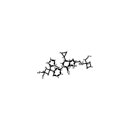 Cn1cnnc1C1(c2cccc(-n3cc(C4CC4)c4cc(CNC5(CF)CCC5)[nH]c4c3=O)c2)CC(F)(F)C1